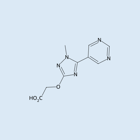 Cn1nc(OCC(=O)O)nc1-c1cncnc1